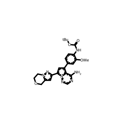 COc1cc(-c2cc(-c3cc4n(n3)CCOC4)n3ncnc(N)c23)ccc1NC(=O)OC(C)(C)C